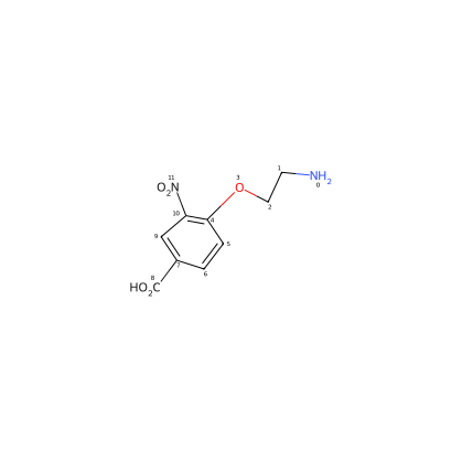 NCCOc1ccc(C(=O)O)cc1[N+](=O)[O-]